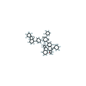 c1ccc(-c2nc(-c3ccc(-c4cccc5c4oc4ccccc45)cc3)cc(-c3ccc4c(c3)C3(c5ccccc5-c5ccccc53)c3ccccc3N4c3ccccc3)n2)cc1